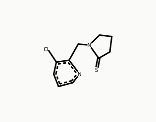 S=C1CCCN1Cc1ncccc1Cl